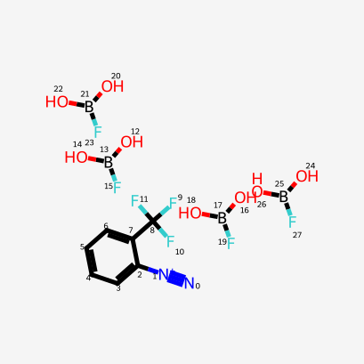 N#[N+]c1ccccc1C(F)(F)F.OB(O)F.OB(O)F.OB(O)F.OB(O)F